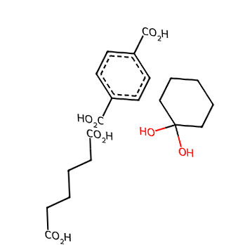 O=C(O)CCCCC(=O)O.O=C(O)c1ccc(C(=O)O)cc1.OC1(O)CCCCC1